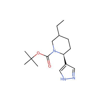 CCC1CC[C@@H](c2cn[nH]c2)N(C(=O)OC(C)(C)C)C1